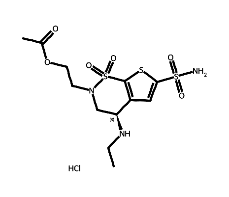 CCN[C@H]1CN(CCOC(C)=O)S(=O)(=O)c2sc(S(N)(=O)=O)cc21.Cl